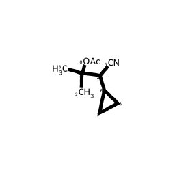 CC(=O)OC(C)(C)C(C#N)C1CC1